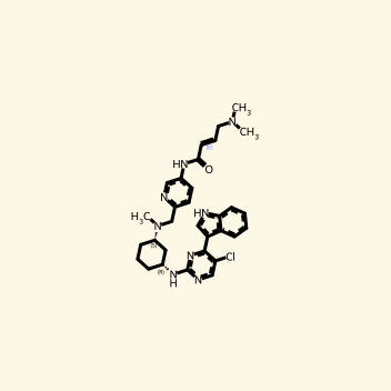 CN(C)C/C=C/C(=O)Nc1ccc(CN(C)[C@H]2CCC[C@@H](Nc3ncc(Cl)c(-c4c[nH]c5ccccc45)n3)C2)nc1